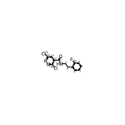 O=C(NCCc1ccccc1F)c1cc(Cl)nnc1Cl